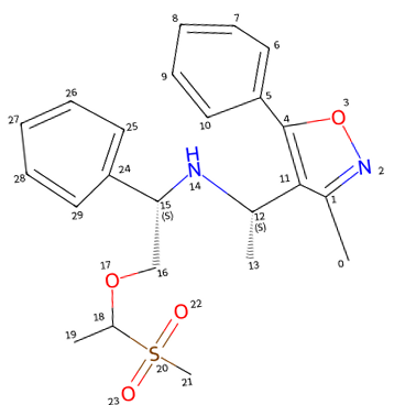 Cc1noc(-c2ccccc2)c1[C@H](C)N[C@H](COC(C)S(C)(=O)=O)c1ccccc1